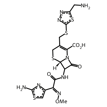 CON=C(C(=O)NC1C(=O)N2C(C(=O)O)=C(CSc3nnc(CN)s3)CS[C@@H]12)c1csc(N)n1